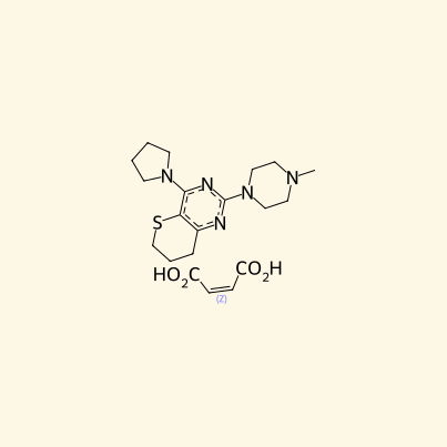 CN1CCN(c2nc3c(c(N4CCCC4)n2)SCCC3)CC1.O=C(O)/C=C\C(=O)O